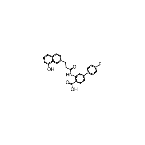 O=C(CCc1ccc2cccc(O)c2c1)Nc1cc(-c2ccc(F)cc2)ccc1C(=O)O